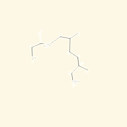 CC(C)C[C@H](C)NCC(C)CCC(C)CC(C)(C)C